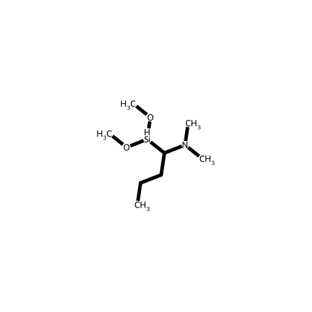 CCCC(N(C)C)[SiH](OC)OC